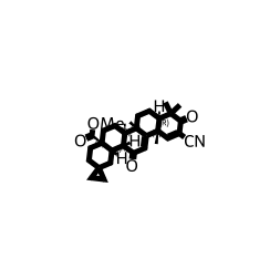 COC(=O)[C@]12CCC3(CC3)C[C@H]1[C@H]1C(=O)C=C3[C@@]4(C)C=C(C#N)C(=O)C(C)(C)[C@@H]4CC[C@@]3(C)[C@]1(C)CC2